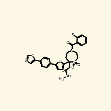 O=C(CC1(c2ccc(-c3ccc(-c4cnco4)cc3)s2)CCN(C(=O)c2ccccc2F)CCS1(=O)=O)NO